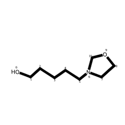 OCCCCCN1CCOC1